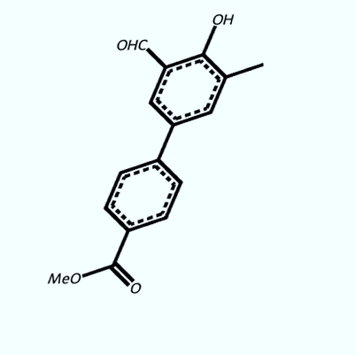 COC(=O)c1ccc(-c2cc(C)c(O)c(C=O)c2)cc1